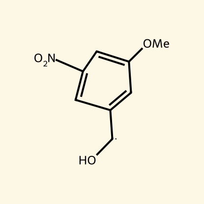 COc1cc([CH]O)cc([N+](=O)[O-])c1